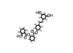 O=C(Oc1ccccc1C(=O)Oc1ccc(/C=C/c2cc(O)cc(O)c2)cc1)c1ccccc1O